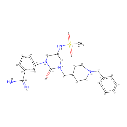 CS(=O)(=O)NC1CN(CC2CCN(Cc3ccccc3)CC2)C(=O)N(c2cccc(C(=N)N)c2)C1